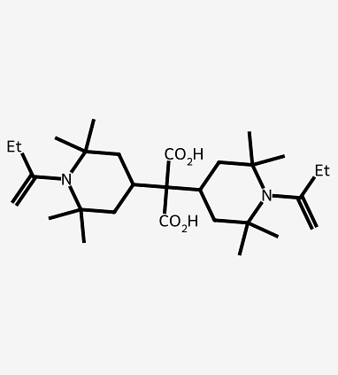 C=C(CC)N1C(C)(C)CC(C(C(=O)O)(C(=O)O)C2CC(C)(C)N(C(=C)CC)C(C)(C)C2)CC1(C)C